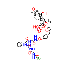 C[C@]12C=CC(=O)C=C1CC[C@@H]1[C@@H]2[C@@H](O)C[C@@]2(C)[C@H]1C[C@H]1O[C@@H](c3ccc(Cc4ccc(COCNC(=O)CNC(=O)[C@H](Cc5ccccc5)NC(=O)CNC(=O)CNC(=O)CBr)cc4)o3)O[C@]12C(=O)COP(=O)(O)O